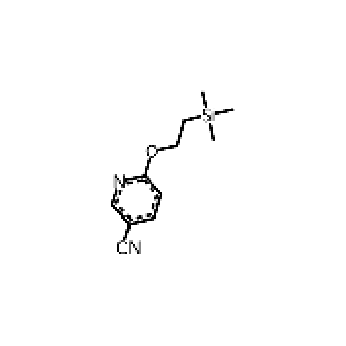 C[Si](C)(C)CCOc1ccc(C#N)cn1